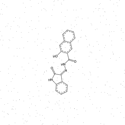 O=C1Nc2ccccc2/C1=N/NC(=O)c1cc2ccccc2cc1O